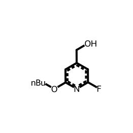 CCCCOc1cc(CO)cc(F)n1